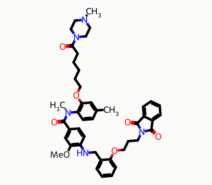 COc1cc(C(=O)N(C)c2ccc(C)cc2OCCCCCC(=O)N2CCN(C)CC2)ccc1NCc1ccccc1OCCCN1C(=O)c2ccccc2C1=O